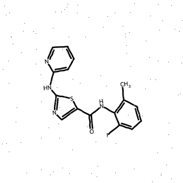 Cc1cccc(I)c1NC(=O)c1cnc(Nc2ccccn2)s1